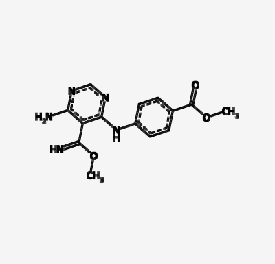 COC(=N)c1c(N)ncnc1Nc1ccc(C(=O)OC)cc1